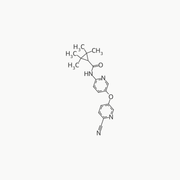 CC1(C)C(C(=O)Nc2ccc(Oc3ccc(C#N)nc3)cn2)C1(C)C